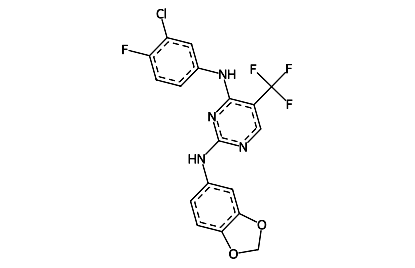 Fc1ccc(Nc2nc(Nc3ccc4c(c3)OCO4)ncc2C(F)(F)F)cc1Cl